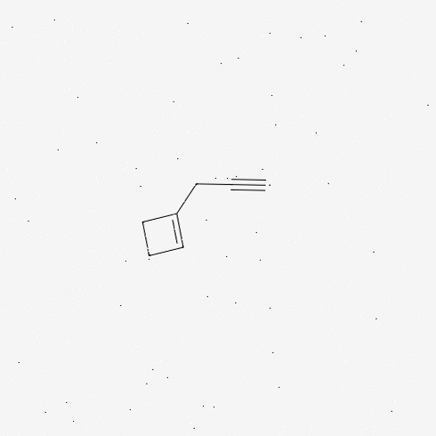 [C]#CCC1=CCC1